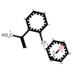 C=C(C(=O)O)c1ccccc1C(F)(F)F.c1cc2ccc1CO2